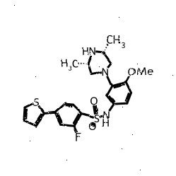 COc1ccc(NS(=O)(=O)c2ccc(-c3cccs3)cc2F)cc1N1C[C@@H](C)N[C@@H](C)C1